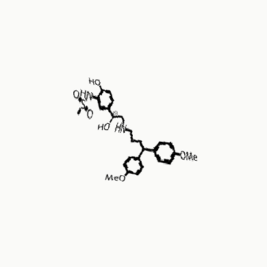 COc1ccc(C(CCCNC[C@@H](O)c2ccc(O)c(NS(C)(=O)=O)c2)c2ccc(OC)cc2)cc1